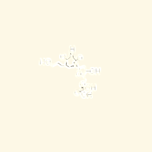 O=c1[nH]c(=O)n(C2CC(O)C(COP(=O)(O)O)O2)cc1/C=C/CO